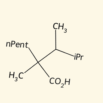 CCCCCC(C)(C(=O)O)C(C)C(C)C